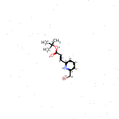 CC(C)(C)OC(=O)/C=C/c1cccc(CBr)n1